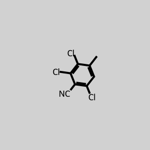 Cc1cc(Cl)c(C#N)c(Cl)c1Cl